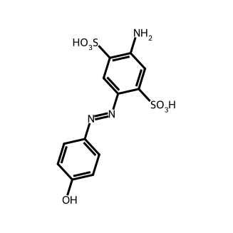 Nc1cc(S(=O)(=O)O)c(N=Nc2ccc(O)cc2)cc1S(=O)(=O)O